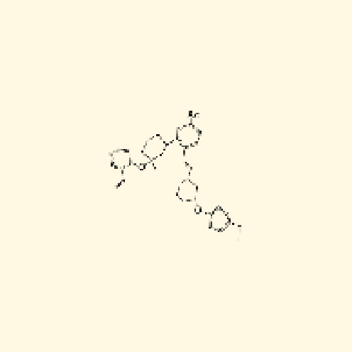 C=Cc1ccc(OC2(C)CCCC(/C=C/c3ccc(C(C)=O)cc3C3CCCC(C)(Oc4ccccc4C=C)C3)C2)cc1